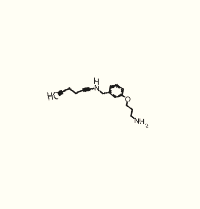 C#CCCC#CNCc1cccc(OCCCN)c1